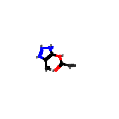 COC(=O)Oc1[nH]nnc1C